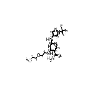 COCCOCCNc1nc(Nc2cnn(C(C)(C)C)c2)ncc1C(N)=O